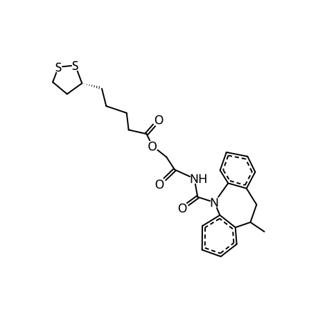 CC1Cc2ccccc2N(C(=O)NC(=O)COC(=O)CCCC[C@@H]2CCSS2)c2ccccc21